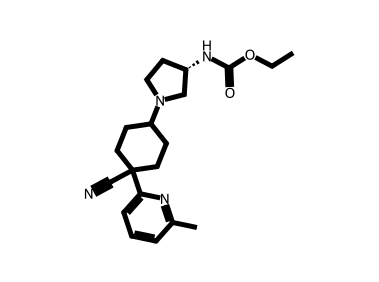 CCOC(=O)N[C@H]1CCN(C2CCC(C#N)(c3cccc(C)n3)CC2)C1